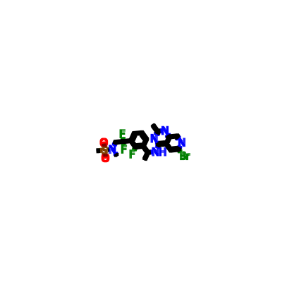 Cc1nc(NC(C)c2cccc(C(F)(F)CN(C)S(C)(=O)=O)c2F)c2cc(Br)ncc2n1